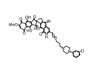 COC1=CC(=O)c2c(O)c3c(c(O)c2C1=O)C(=O)[C@]1(CCc2c1c(O)c1c(=O)[nH]c(/C=N/OCCCN4CCN(c5cccc(Cl)c5)CC4)cc1c2Br)C3=O